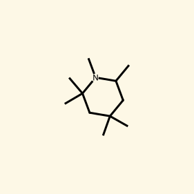 CC1CC(C)(C)CC(C)(C)N1C